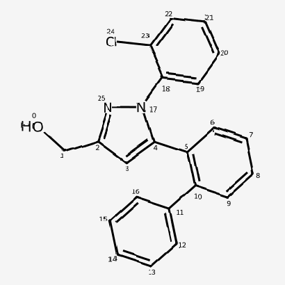 OCc1cc(-c2[c]cccc2-c2ccccc2)n(-c2ccccc2Cl)n1